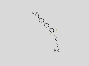 CCCCCCCCCCc1c(F)cc(C2C=CC([C@H]3CC[C@H](CCC)CC3)=CC2)cc1F